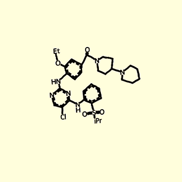 CCOc1cc(C(=O)N2CCC(N3CCCCC3)CC2)ccc1Nc1ncc(Cl)c(Nc2ccccc2S(=O)(=O)C(C)C)n1